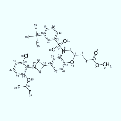 COC(=O)CC[C@H]1CN(S(=O)(=O)c2cccc(C(F)(F)F)c2)c2cc(C3CN(c4c(Cl)cccc4OC(F)F)C3)ccc2O1